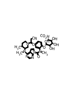 C[C@@H]1CCN(C(=O)CC#N)CC1N(C)c1ncnc2c1ccn2C(=O)N(C)c1ccccc1O[C@@H]1O[C@H](C(=O)O)[C@@H](O)[C@H](O)[C@H]1O